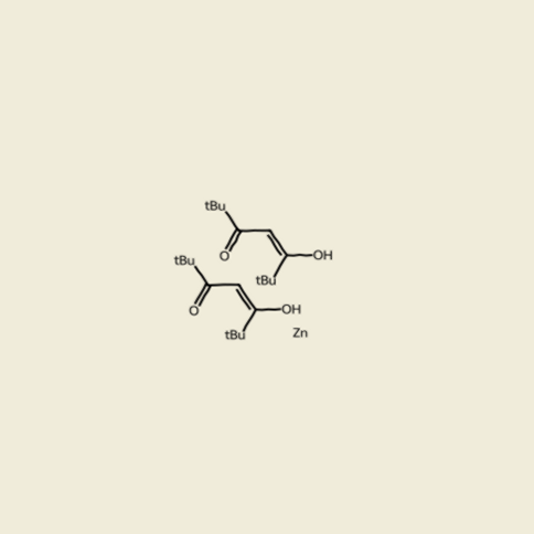 CC(C)(C)C(=O)/C=C(/O)C(C)(C)C.CC(C)(C)C(=O)/C=C(/O)C(C)(C)C.[Zn]